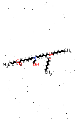 CCCCCCCCOC(CCCCCCCN(CCO)CCCCCCCC(=O)OCCCCC)OCCCCCCCC